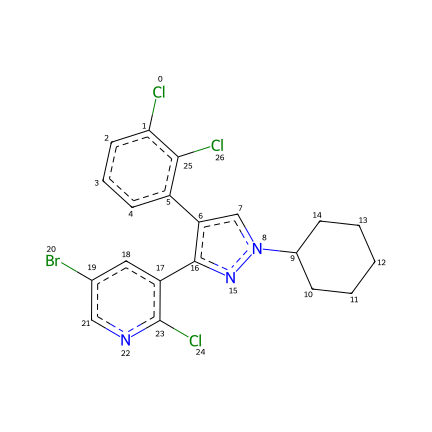 Clc1cccc(-c2cn(C3CCCCC3)nc2-c2cc(Br)cnc2Cl)c1Cl